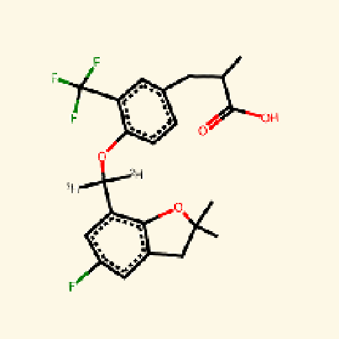 [2H]C([2H])(Oc1ccc(CC(C)C(=O)O)cc1C(F)(F)F)c1cc(F)cc2c1OC(C)(C)C2